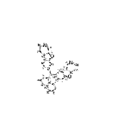 c1ccc2c(N(c3ccc4c(c3)oc3cnccc34)c3ccc4oc5ccncc5c4c3)cccc2c1